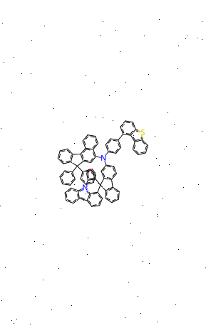 c1ccc(C2(c3ccccc3)c3ccccc3-c3c2cc(N(c2ccc(-c4cccc5sc6ccccc6c45)cc2)c2ccc4c(c2)C2(c5ccccc5-4)c4ccccc4-n4c5ccccc5c5cccc2c54)c2ccccc32)cc1